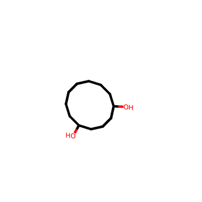 OC1CCCCCCCC(O)CCC1